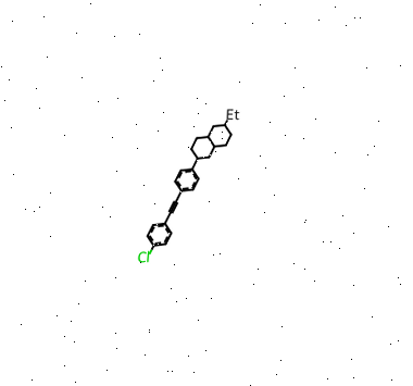 CCC1CCC2CC(c3ccc(C#Cc4ccc(Cl)cc4)cc3)CCC2C1